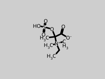 CC[N+](C)(C)C(C)(OS(=O)(=O)O)C(=O)[O-]